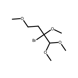 COCCC(Br)(OC)C(OC)OC